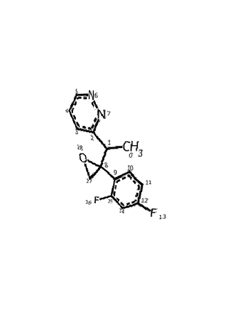 CC(c1cccnn1)C1(c2ccc(F)cc2F)CO1